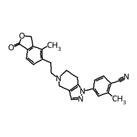 Cc1cc(-n2ncc3c2CCN(CCc2ccc4c(c2C)COC4=O)C3)ccc1C#N